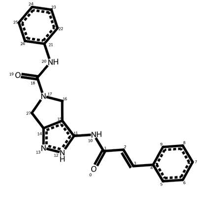 O=C(/C=C/c1ccccc1)Nc1[nH]nc2c1CN(C(=O)Nc1ccccc1)C2